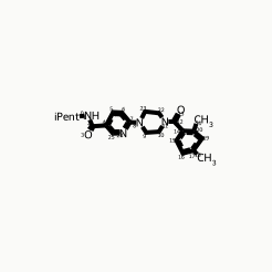 CCCC(C)NC(=O)c1ccc(N2CCN(C(=O)c3ccc(C)cc3C)CC2)nc1